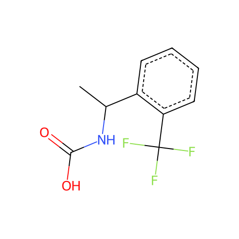 CC(NC(=O)O)c1ccccc1C(F)(F)F